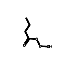 CCCC(=O)OOO